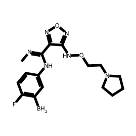 Bc1cc(N/C(=N\C)c2nonc2NOCCN2CCCC2)ccc1F